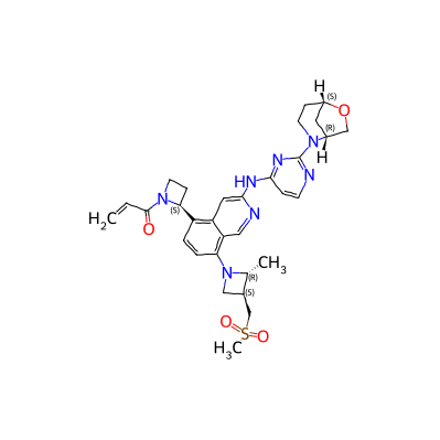 C=CC(=O)N1CC[C@H]1c1ccc(N2C[C@H](CS(C)(=O)=O)[C@H]2C)c2cnc(Nc3ccnc(N4CC[C@H]5C[C@@H]4CO5)n3)cc12